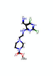 CC(C)(C)OC(=O)N1CCN(CCNc2nc(Cl)nc(Cl)c2C=N)CC1